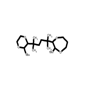 CC(C)(C)C1OCCCOC1C(C)(C)CCC(C)(C)C1OCCOC1C(C)(C)C